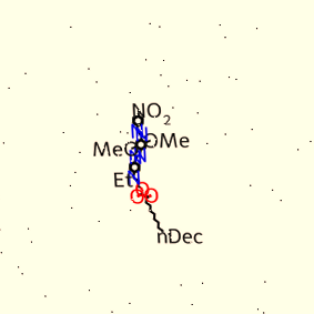 CCCCCCCCCCCCCCCCCCC(=O)C(=O)OCCN(CC)c1ccc(/N=N/c2cc(OC)c(/N=N/c3ccc([N+](=O)[O-])cc3)cc2OC)cc1